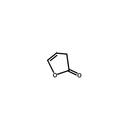 O=C1C[C]=CO1